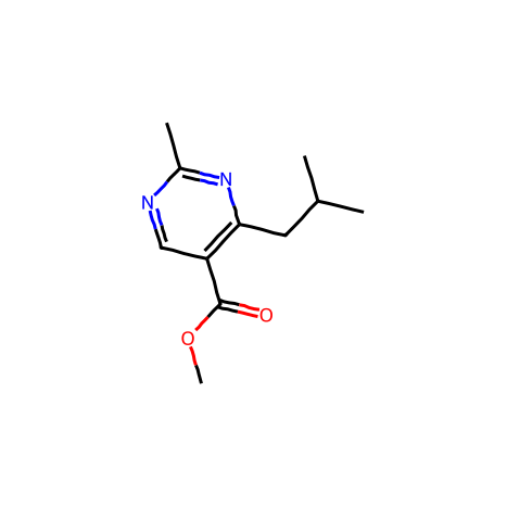 COC(=O)c1cnc(C)nc1CC(C)C